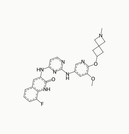 COc1cc(Nc2nccc(Nc3cc4cccc(F)c4[nH]c3=O)n2)cnc1OC1CC2(C1)CN(C)C2